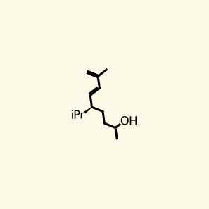 C=C(C)/C=C/[C@@H](CCC(C)O)C(C)C